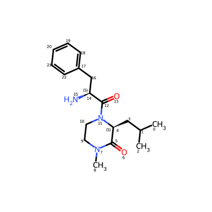 CC(C)C[C@H]1C(=O)N(C)CCN1C(=O)[C@@H](N)Cc1ccccc1